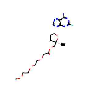 C#C[C@]1(COC(=O)COCCOCCOC)O[C@@H](n2cnc3c(N)nc(F)nc32)C[C@@H]1O